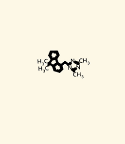 Cc1nc(C)nc(Cc2cccc3c2-c2ccccc2C3(C)C)n1